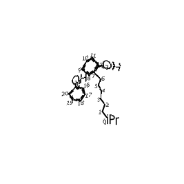 CC(C)CCCCCCc1ccccc1O.Oc1ccccc1